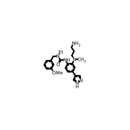 CCN(Cc1cccc(OC)c1)C(=O)Nc1ccc(-c2cn[nH]c2)cc1N(C)CCCN